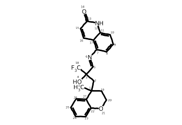 CC1(CC(O)(C=Nc2cccc3[nH]c(=O)ccc23)C(F)(F)F)CCOc2ccccc21